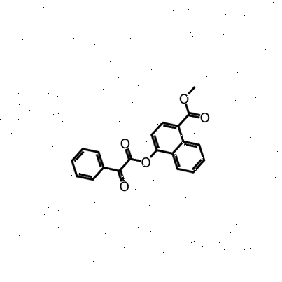 COC(=O)c1ccc(OC(=O)C(=O)c2ccccc2)c2ccccc12